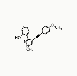 COc1ccc(C#Cc2cn(C)nc2-c2ccccc2O)cc1